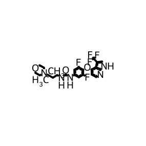 CC(C)(CCNC(=O)Nc1cc(F)c(Oc2ccnc3[nH]cc(C(F)(F)F)c23)c(F)c1)N1CCOCC1